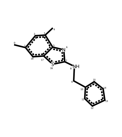 Cc1cc(C)c2nc(NCc3ccccc3)sc2c1